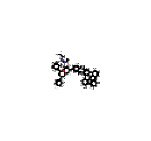 C=C/C(=C\C=C/C)N(c1cccc(-c2ccc3c(c2)Oc2c(ccc4c2-c2ccccc2C42c4ccccc4-c4ccccc42)O3)c1)c1ccccc1C1=CC=CC(c2ccccc2)C1